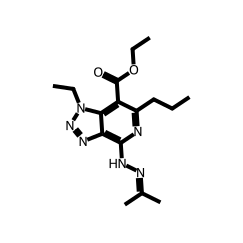 CCCc1nc(NN=C(C)C)c2nnn(CC)c2c1C(=O)OCC